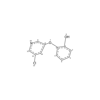 Oc1ccccc1Oc1cncc(Cl)c1